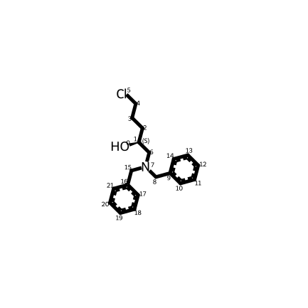 O[C@@H](CCCCl)CN(Cc1ccccc1)Cc1ccccc1